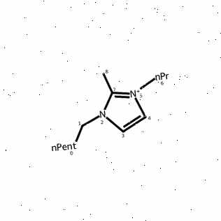 CCCCCCn1cc[n+](CCC)c1C